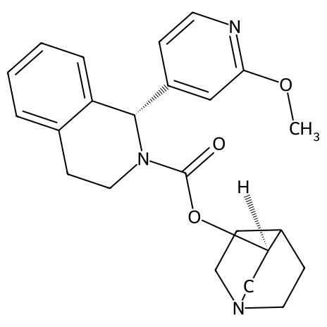 COc1cc([C@H]2c3ccccc3CCN2C(=O)O[C@@H]2CN3CCC2CC3)ccn1